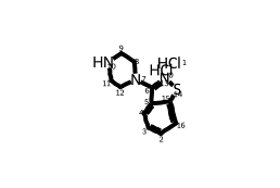 Cl.Cl.c1ccc2c(N3CCNCC3)nsc2c1